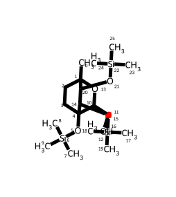 CC12CCC(O[Si](C)(C)C)(C(CO)O1)C(O[Si](C)(C)C)C2O[Si](C)(C)C